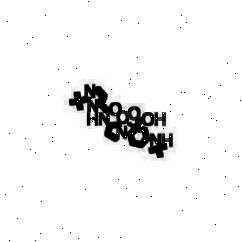 CC(C)(C)N[C@@H]1CC[C@H](N2CC[C@H](NC(=O)c3ccnc(C(C)(C)C)n3)C2=O)[C@](C)(C(=O)O)C1